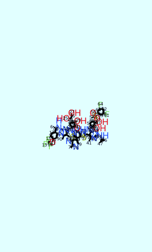 Cc1nc(N[C@H](C)c2ccc(OC(F)(F)F)cc2)nc(N[C@@H]2C[C@H](C(O)CO)[C@@H](O)[C@H]2Oc2nccc3sc(-c4c(C)nc(NC5CC5)nc4N[C@@H]4C[C@H](CS(=O)(=O)c5cc(F)cc(F)c5)[C@@H](O)[C@H]4O)nc23)c1-c1nc2c(C)nccc2s1